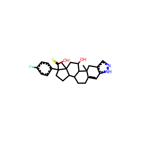 CC12Cc3cn[nH]c3C=C1CCC1C2C(O)CC2(C)C1CCC2(C(O)=S)c1ccc(F)cc1